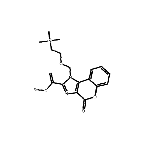 C=C(OBr)c1nc2c(=O)oc3ccccc3c2n1COCC[Si](C)(C)C